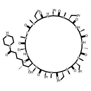 CC[C@@H]1NC(=O)[C@H]([C@H](O)[C@H](C)CCCC(=O)N2CCNCC2)N(C)C(=O)[C@H](C(C)C)N(C)C(=O)[C@H](CC(C)C)N(C)C(=O)[C@H](CC(C)C)N(C)C(=O)[C@@H](C)NC(=O)[C@H](C)NC(=O)[C@H](CC(C)C)N(C)C(=O)[C@H](C(C)C)NC(=O)[C@H](CC(C)C)N(C)C(=O)CN(C)C1=O